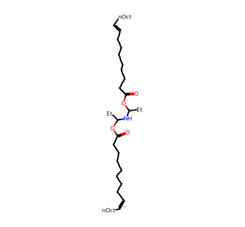 CCCCCCCCC=CCCCCCCCC(=O)OC(CC)NC(CC)OC(=O)CCCCCCC/C=C\CCCCCCCC